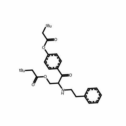 CC(C)(C)CC(=O)OCC(NCCc1ccccc1)C(=O)c1ccc(OC(=O)CC(C)(C)C)cc1